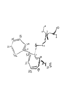 CCN(CC)CCc1ccccc1-c1ccccc1.S